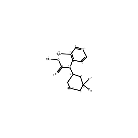 CC(C)(C)OC(=O)N(c1ccncc1N)C1CNCC(F)(F)C1